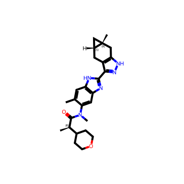 Cc1cc2[nH]c(-c3n[nH]c4c3C[C@@H]3C[C@]3(C)C4)nc2cc1N(C)C(=O)[C@H](C)C1CCOCC1